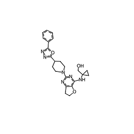 OCC1(Nc2nc(N3CCC(c4nnc(-c5ccccc5)o4)CC3)nc3c2OCC3)CC1